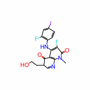 Cn1c2c(c(Nc3ccc(I)cc3F)c(F)c1=O)C(=O)C(CCO)C=N2